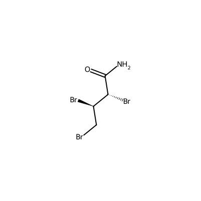 NC(=O)[C@H](Br)[C@H](Br)CBr